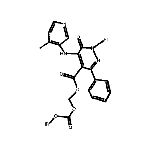 CCn1nc(-c2ccccc2)c(C(=O)OCOC(=O)OC(C)C)c(Nc2cnccc2C)c1=O